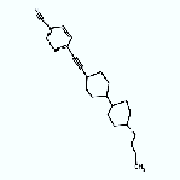 CCCCC1CCC(C2CCC(C#Cc3ccc(C#N)cc3)CC2)CC1